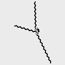 CCCCCCCCCCCCCCCCCN1C=CN(CCCCCCCCCCCCCC)C1CCCCCCCCCCC